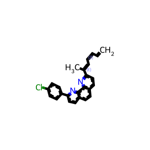 C=C/C=C\C=C(/C)c1ccc2ccc3ccc(-c4ccc(Cl)cc4)nc3c2n1